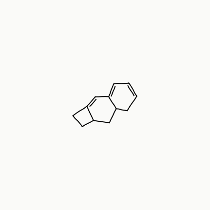 C1=CCC2CC3CCC3=CC2=C1